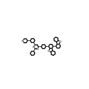 c1ccc(-c2nc(-c3ccc(-c4ccc(-c5cccc6oc7ccccc7c56)c5c4oc4ccccc45)cc3)cc(-c3cccc(-c4ccncc4)c3)n2)cc1